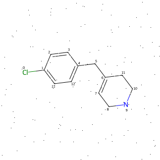 Clc1ccc(CC2=CC[N]CC2)cc1